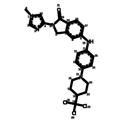 Cn1cnc(N2Cc3cc(Nc4ccc(N5CCC(C(Cl)(Cl)Cl)CC5)cc4)ccc3C2=O)c1